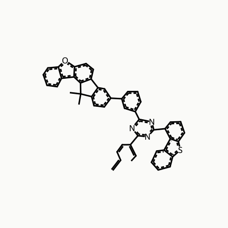 C=C/C=C\C(=C/C)c1nc(-c2cccc(-c3ccc4c(c3)-c3ccc5oc6ccccc6c5c3C4(C)C)c2)nc(-c2cccc3sc4ccccc4c23)n1